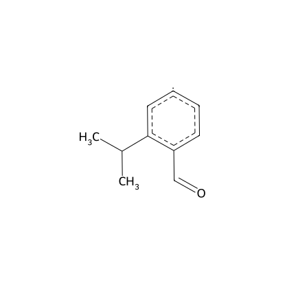 CC(C)c1c[c]ccc1C=O